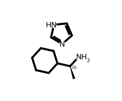 C[C@H](N)C1CCCCC1.c1c[nH]cn1